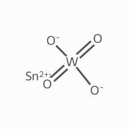 [O]=[W](=[O])([O-])[O-].[Sn+2]